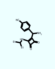 CCC(CC)Nc1c(C(N)c2ccc(C#N)cc2)c(=O)c1=O